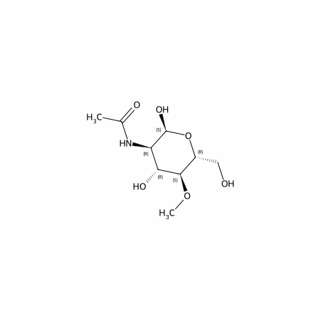 CO[C@H]1[C@H](O)[C@@H](NC(C)=O)[C@@H](O)O[C@@H]1CO